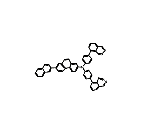 c1ccc2cc(-c3ccc4c(ccc5cc(N(c6ccc(-c7cccc8cnncc78)cc6)c6ccc(-c7cccc8cnncc78)cc6)ccc54)c3)ccc2c1